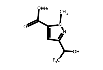 COC(=O)c1cc(C(O)C(F)(F)F)nn1C